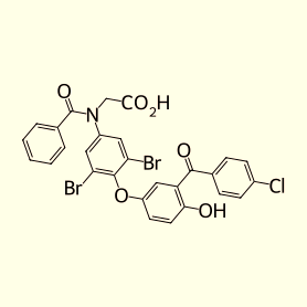 O=C(O)CN(C(=O)c1ccccc1)c1cc(Br)c(Oc2ccc(O)c(C(=O)c3ccc(Cl)cc3)c2)c(Br)c1